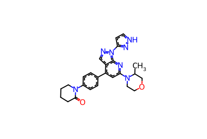 CC1COCCN1c1cc(-c2ccc(N3CCCCC3=O)cc2)c2cnn(-c3cc[nH]n3)c2n1